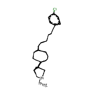 CCCCC[SiH]1CCC(C2CCC(CCCCc3ccc(Cl)cc3)CC2)CC1